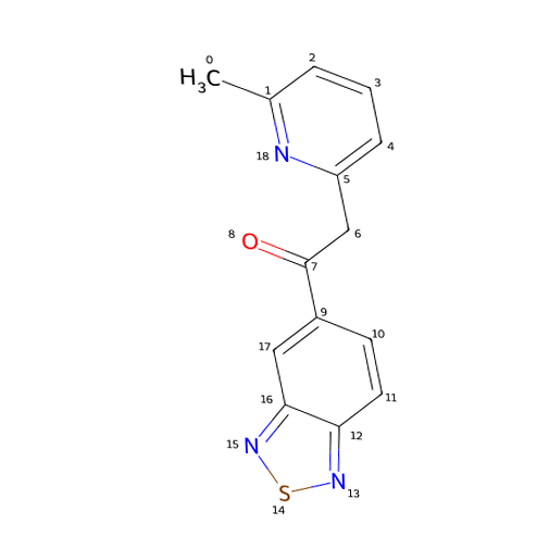 Cc1cccc(CC(=O)c2ccc3nsnc3c2)n1